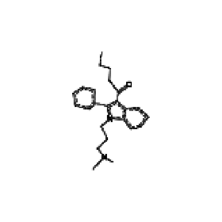 CCCCC(=O)c1c(-c2ccccc2)n(CCCN(C)C)c2ccccc12